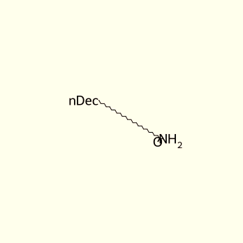 CCCCCCCCCCCCCCCCCCCCCCCCCCCCCCCCCC(N)=O